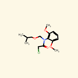 COc1cccc(OC)c1N(COCC(C)C)C(=O)CCl